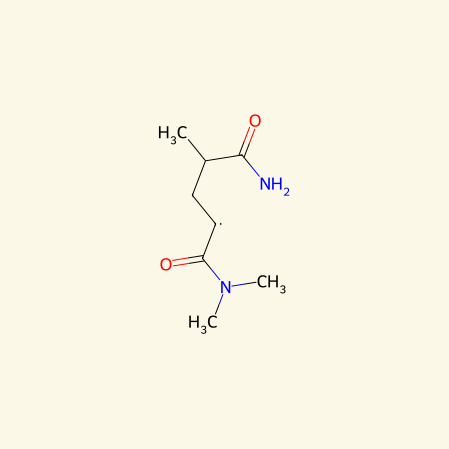 CC(C[CH]C(=O)N(C)C)C(N)=O